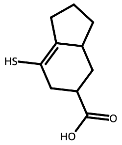 O=C(O)C1CC(S)=C2CCCC2C1